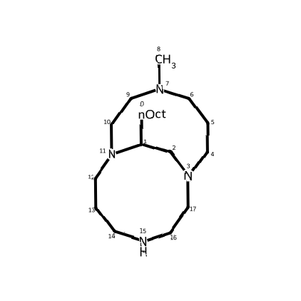 CCCCCCCCC1CN2CCCN(C)CCN1CCCNCC2